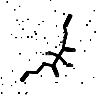 C=CCOC(=O)C(CCCC)(CCCC)C(=O)OCC=C